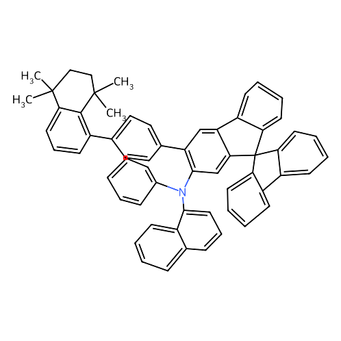 CC1(C)CCC(C)(C)c2c(-c3ccc(-c4cc5c(cc4N(c4ccccc4)c4cccc6ccccc46)C4(c6ccccc6-c6ccccc64)c4ccccc4-5)cc3)cccc21